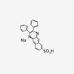 O=S(=O)(O)c1ccc2cc3nc(-c4ccccc4)c(-c4ccccc4)nc3cc2c1.[Na]